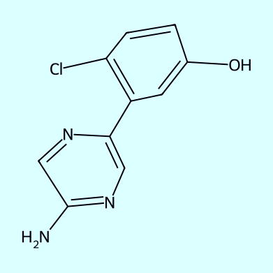 Nc1cnc(-c2cc(O)ccc2Cl)cn1